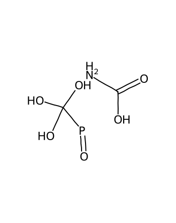 NC(=O)O.O=PC(O)(O)O